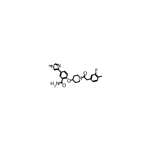 Cc1ccc(CC(=O)N2CCC(Oc3ccc(-c4cn(C)cn4)cc3C(N)=O)CC2)cc1F